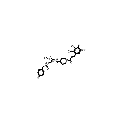 Cc1c(S)cc(C=CC(=O)N2CCC(C(=O)N[C@@H](CNC(=O)Cc3ccc(F)cc3)C(=O)O)CC2)c(Cl)c1Cl